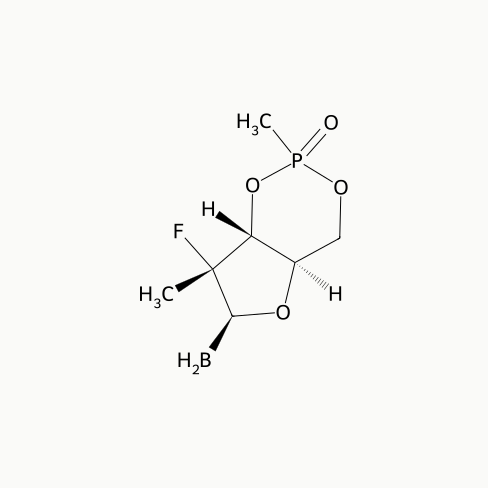 B[C@@H]1O[C@@H]2COP(C)(=O)O[C@H]2[C@@]1(C)F